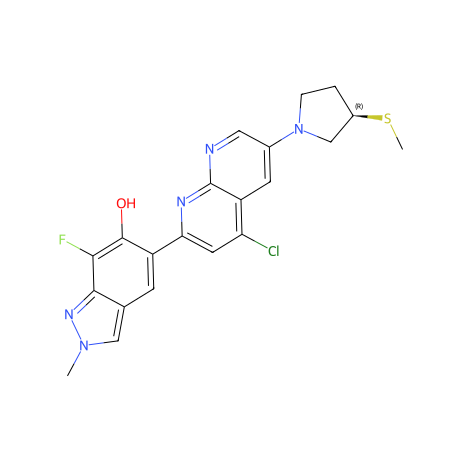 CS[C@@H]1CCN(c2cnc3nc(-c4cc5cn(C)nc5c(F)c4O)cc(Cl)c3c2)C1